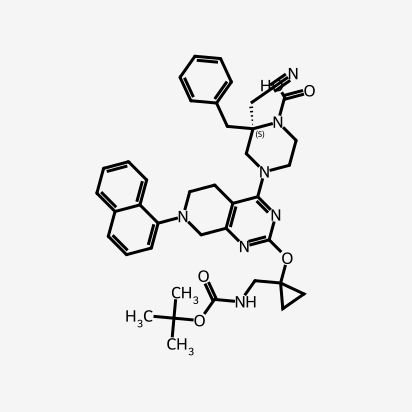 CC(C)(C)OC(=O)NCC1(Oc2nc3c(c(N4CCN(C(=O)O)[C@](CC#N)(Cc5ccccc5)C4)n2)CCN(c2cccc4ccccc24)C3)CC1